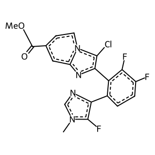 COC(=O)c1ccn2c(Cl)c(-c3c(-c4ncn(C)c4F)ccc(F)c3F)nc2c1